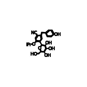 CC(C)Oc1cc(C#N)c(Cc2ccc(O)cc2)cc1[C@@H]1O[C@H](CO)[C@@H](O)[C@H](O)[C@H]1O